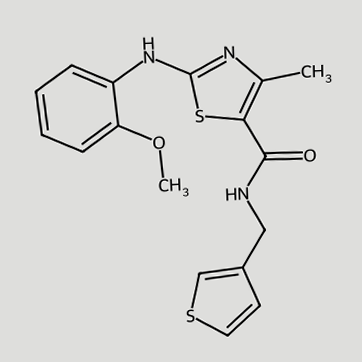 COc1ccccc1Nc1nc(C)c(C(=O)NCc2ccsc2)s1